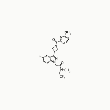 CN(CC(F)(F)F)C(=O)Cn1nc(C2CN(C(=O)c3ccnc(N)n3)C2)c2cc(F)ccc21